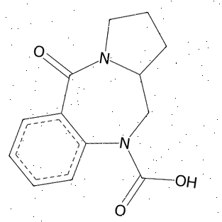 O=C(O)N1CC2CCCN2C(=O)c2ccccc21